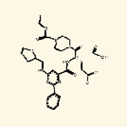 CCOC(=O)N1CCN(C(=O)[C@H](CCC(=O)O)NC(=O)c2cc(NCC3CCCO3)nc(-c3ccccc3)n2)CC1.O=CO